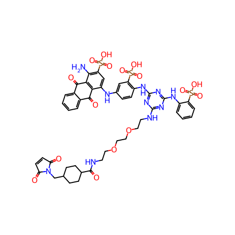 Nc1c(S(=O)(=O)O)cc(Nc2ccc(Nc3nc(NCCOCCOCCNC(=O)C4CCC(CN5C(=O)C=CC5=O)CC4)nc(Nc4ccccc4S(=O)(=O)O)n3)c(S(=O)(=O)O)c2)c2c1C(=O)c1ccccc1C2=O